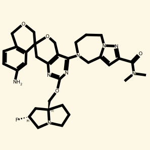 CN(C)C(=O)c1cc2n(n1)CCCN(c1nc(OC[C@@]34CCCN3C[C@H](F)C4)nc3c1COC1(COCc4ccc(N)cc41)C3)C2